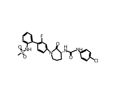 CS(=O)(=O)Nc1ccccc1-c1ccc(N2CCC[C@@H](NC(=O)Nc3ccc(Cl)cc3)C2=O)cc1F